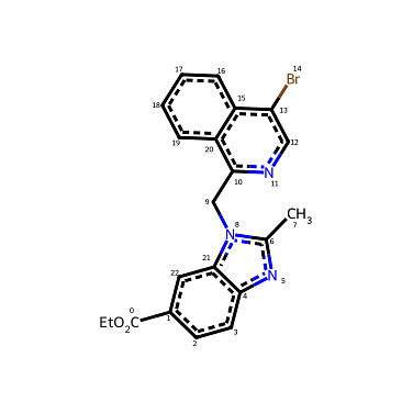 CCOC(=O)c1ccc2nc(C)n(Cc3ncc(Br)c4ccccc34)c2c1